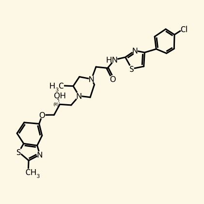 Cc1nc2cc(OC[C@H](O)CN3CCN(CC(=O)Nc4nc(-c5ccc(Cl)cc5)cs4)CC3C)ccc2s1